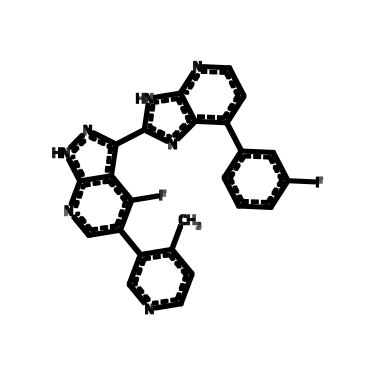 Cc1ccncc1-c1cnc2[nH]nc(-c3nc4c(-c5cccc(F)c5)ccnc4[nH]3)c2c1F